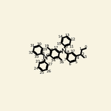 CCC(C)c1cccc(N(c2ccccc2)c2cc(C)c(N(c3ccccc3)c3ccccc3)cc2C)c1